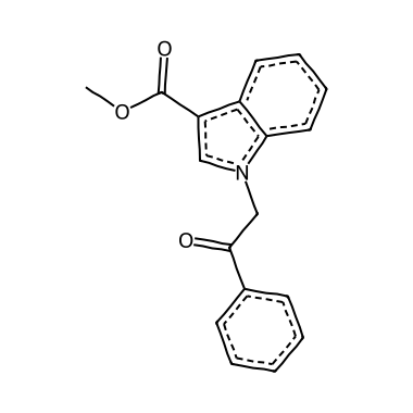 COC(=O)c1cn(CC(=O)c2ccccc2)c2ccccc12